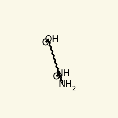 NCCCC(=O)NCCCCCCCCCCCCCCC(=O)O